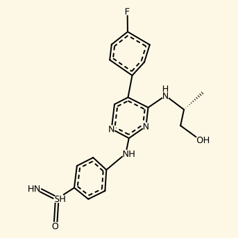 C[C@H](CO)Nc1nc(Nc2ccc([SH](=N)=O)cc2)ncc1-c1ccc(F)cc1